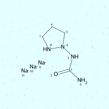 NC(=O)NN1CCCN1.[Na].[Na].[Na]